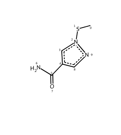 CSn1cc(C(N)=O)cn1